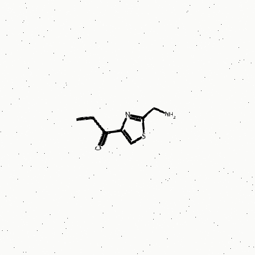 CCC(=O)c1csc(CN)n1